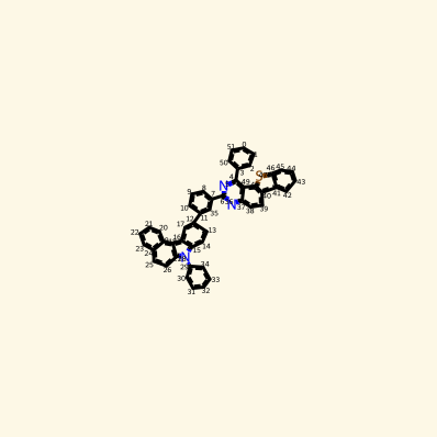 c1ccc(-c2nc(-c3cccc(-c4ccc5c(c4)c4c6ccccc6ccc4n5-c4ccccc4)c3)nc3ccc4c5ccccc5sc4c23)cc1